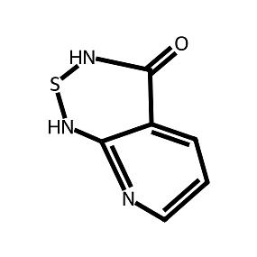 O=C1NSNc2ncccc21